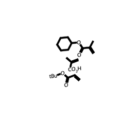 C=C(C)C(=O)O.C=C(C)C(=O)OC1CCCCC1.C=CC(=O)OC(C)(C)C